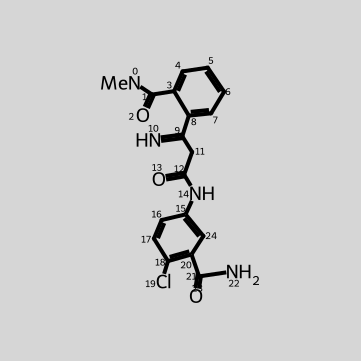 CNC(=O)c1ccccc1C(=N)CC(=O)Nc1ccc(Cl)c(C(N)=O)c1